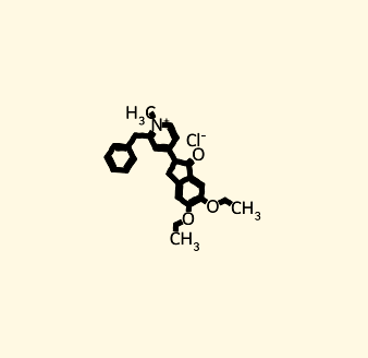 CCOc1cc2c(cc1OCC)C(=O)C(c1cc[n+](C)c(Cc3ccccc3)c1)C2.[Cl-]